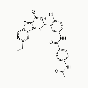 CCc1ccc2oc3c(=O)[nH]c(-c4cc(NC(=O)c5ccc(NC(C)=O)cc5)ccc4Cl)nc3c2c1